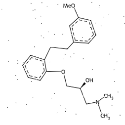 COc1cccc(CCc2ccccc2OC[C@@H](O)CN(C)C)c1